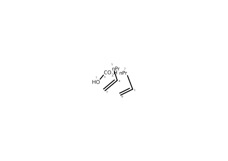 C=CCCC.C=CCCC.O=C(O)O